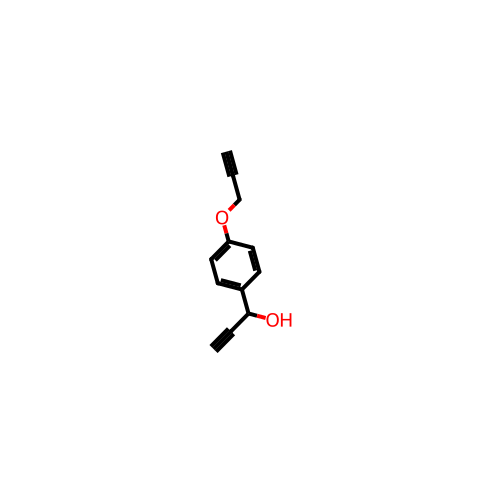 C#CCOc1ccc(C(O)C#C)cc1